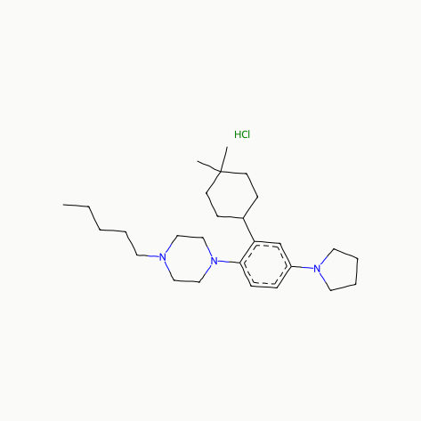 CCCCCN1CCN(c2ccc(N3CCCC3)cc2C2CCC(C)(C)CC2)CC1.Cl